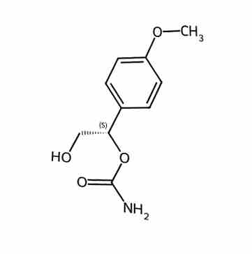 COc1ccc([C@@H](CO)OC(N)=O)cc1